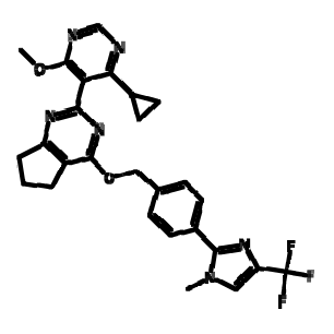 COc1ncnc(C2CC2)c1-c1nc2c(c(OCc3ccc(-c4nc(C(F)(F)F)cn4C)cc3)n1)CCC2